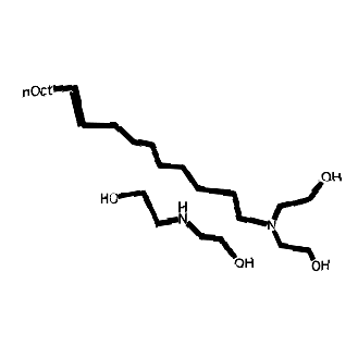 CCCCCCCCC=CCCCCCCCCN(CCO)CCO.OCCNCCO